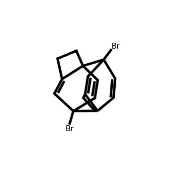 BrC12C=CC3(CCC3=C1)C1(Br)C=CC23CCC3=C1